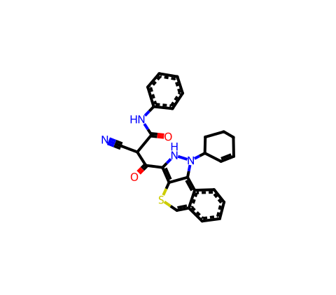 N#CC(C(=O)Nc1ccccc1)C(=O)C1=C2SC=c3ccccc3=C2N(C2C=CCCC2)N1